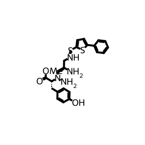 COC(=O)[C@@H](Cc1ccc(O)cc1)N(N)/C=C(\N)CNSc1ccc(-c2ccccc2)s1